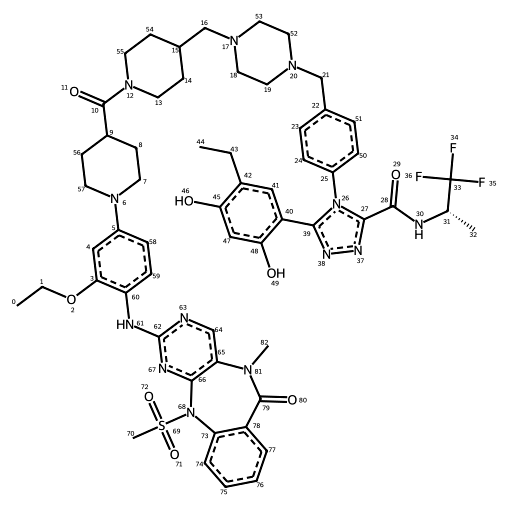 CCOc1cc(N2CCC(C(=O)N3CCC(CN4CCN(Cc5ccc(-n6c(C(=O)N[C@@H](C)C(F)(F)F)nnc6-c6cc(CC)c(O)cc6O)cc5)CC4)CC3)CC2)ccc1Nc1ncc2c(n1)N(S(C)(=O)=O)c1ccccc1C(=O)N2C